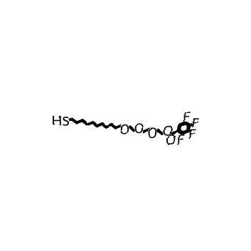 O=C(OCCOCCOCCOCCCCCCCCCCCS)c1cc(F)c(F)c(F)c1F